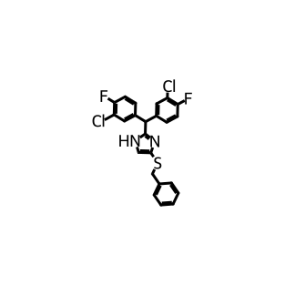 Fc1ccc(C(c2ccc(F)c(Cl)c2)c2nc(SCc3ccccc3)c[nH]2)cc1Cl